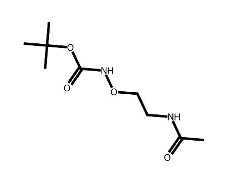 CC(=O)NCCONC(=O)OC(C)(C)C